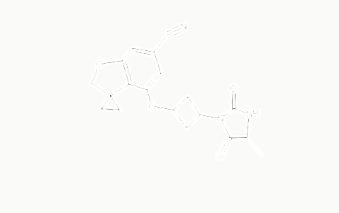 C[C@H]1NC(=O)N(C2CC(Oc3cc(C#N)cc4c3C3(CC3)CO4)C2)C1=O